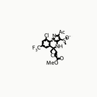 COC(=O)/C=C/C1(CC#N)Nc2c([S+](C)[O-])c(C(C)=O)nn2-c2c(Cl)cc(C(F)(F)F)cc21